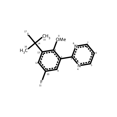 COc1c(-c2ncccn2)cc(F)cc1C(C)(C)I